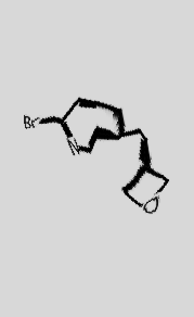 Brc1ccc(C=C2COC2)cn1